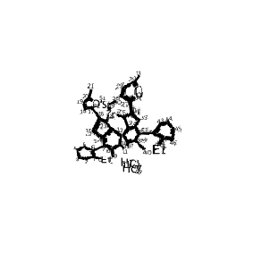 CCc1ccccc1-c1c(C)c(C)cc2c1C=C(c1ccc(C)o1)[CH]2[Zr]([CH]1C(c2ccc(C)o2)=Cc2c1cc(C)c(C)c2-c1ccccc1CC)=[Si](C)C.Cl.Cl